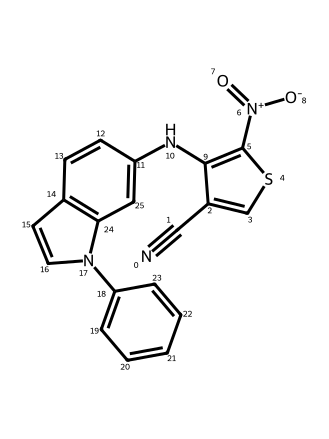 N#Cc1csc([N+](=O)[O-])c1Nc1ccc2ccn(-c3ccccc3)c2c1